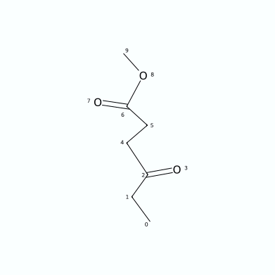 CCC(=O)CCC(=O)OC